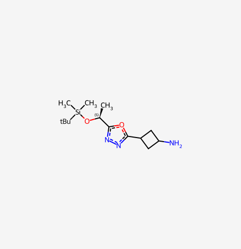 C[C@H](O[Si](C)(C)C(C)(C)C)c1nnc(C2CC(N)C2)o1